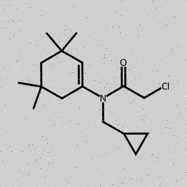 CC1(C)C=C(N(CC2CC2)C(=O)CCl)CC(C)(C)C1